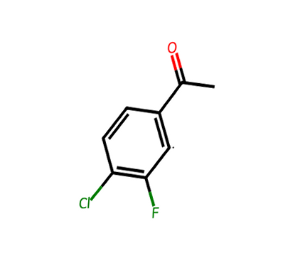 CC(=O)c1[c]c(F)c(Cl)cc1